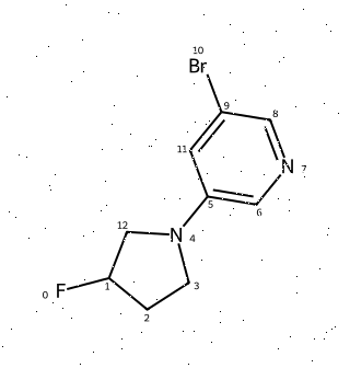 FC1CCN(c2cncc(Br)c2)C1